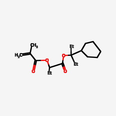 C=C(C)C(=O)OC(CC)C(=O)OC(CC)(CC)C1CCCCC1